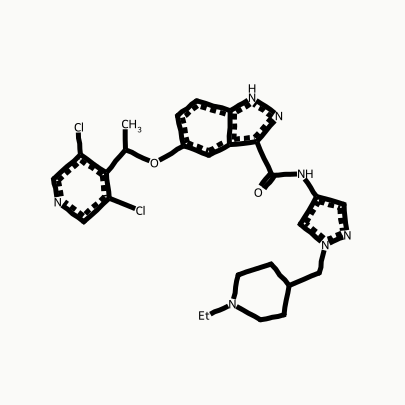 CCN1CCC(Cn2cc(NC(=O)c3n[nH]c4ccc(OC(C)c5c(Cl)cncc5Cl)cc34)cn2)CC1